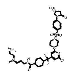 CN(CCN)CCCNC(=O)C1CCC(C(F)(F)c2cc(Cl)nc(N3CCN(S(=O)(=O)c4ccc(N5C[C@H](N)CC5=O)cc4)CC3)c2)CC1